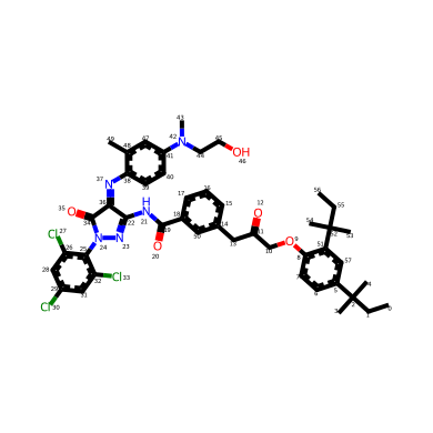 CCC(C)(C)c1ccc(OCC(=O)Cc2cccc(C(=O)NC3=NN(c4c(Cl)cc(Cl)cc4Cl)C(=O)C3=Nc3ccc(N(C)CCO)cc3C)c2)c(C(C)(C)CC)c1